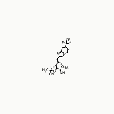 CCOSC(=C\c1cn2cnc(C(F)(F)C(F)(F)F)cc2n1)/C=C(\C=N)OC(C)(C)C#N